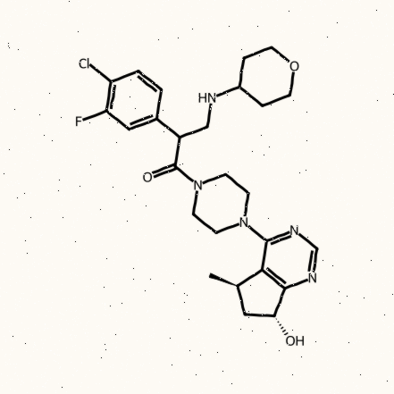 C[C@@H]1C[C@@H](O)c2ncnc(N3CCN(C(=O)C(CNC4CCOCC4)c4ccc(Cl)c(F)c4)CC3)c21